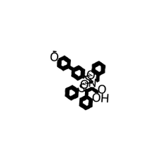 COc1ccc(-c2ccc(S(=O)(=O)N(Cc3ccccc3)C(C(=O)O)C(Sc3ccccc3)c3ccccc3)cc2)cc1